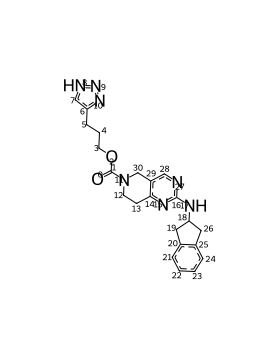 O=C(OCCCc1c[nH]nn1)N1CCc2nc(NC3Cc4ccccc4C3)ncc2C1